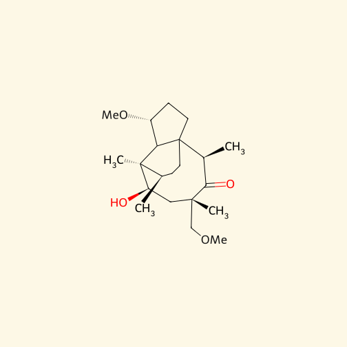 COC[C@]1(C)C[C@@H](O)[C@@]2(C)C3[C@H](OC)CCC3(CC[C@H]2C)[C@@H](C)C1=O